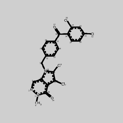 Cn1ncc2c(c(Cl)c(Cl)n2Cc2ccc(C(=O)c3ccc(Cl)cc3Cl)cc2)c1=O